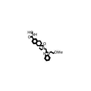 COCCn1c(CN2CC[C@]3(CCc4cc(C(=O)NO)ccc4C3)C2=O)nc2ccccc21